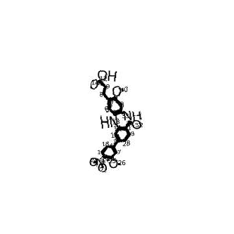 COc1cc2c(cc1CCC(=O)O)Nc1cc(-c3ccc([N+](=O)[O-])c(OC)c3)ccc1C(=O)N2